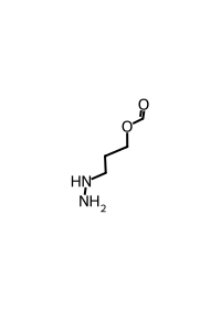 NNCCCOC=O